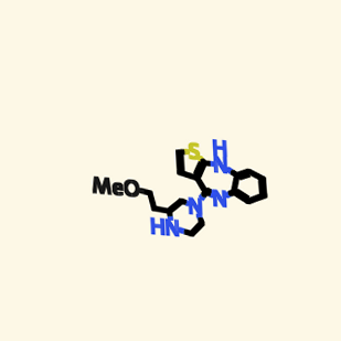 COCCC1CN(C2=Nc3ccccc3Nc3sccc32)CCN1